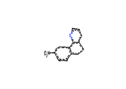 O=[N+]([O-])c1ccc2ccc3cccnc3c2c1